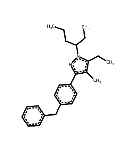 CCCC(CC)n1nc(-c2ccc(Cc3ccccc3)cc2)c(C)c1CC